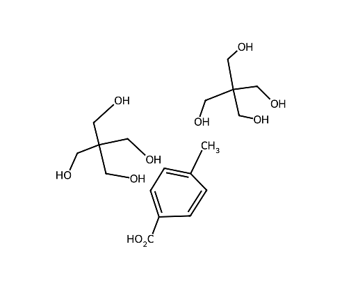 Cc1ccc(C(=O)O)cc1.OCC(CO)(CO)CO.OCC(CO)(CO)CO